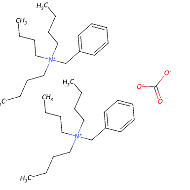 CCCC[N+](CCCC)(CCCC)Cc1ccccc1.CCCC[N+](CCCC)(CCCC)Cc1ccccc1.O=C([O-])[O-]